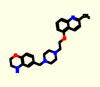 Cc1ccc2c(OCCN3CCN(Cc4ccc5c(c4)NCCO5)CC3)cccc2n1